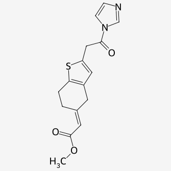 COC(=O)C=C1CCc2sc(CC(=O)n3ccnc3)cc2C1